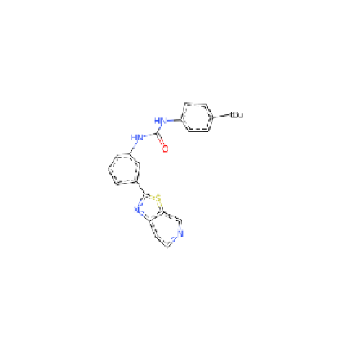 CC(C)(C)c1ccc(NC(=O)Nc2cccc(-c3nc4ccncc4s3)c2)cc1